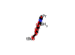 CCCc1ccc(/N=N/c2ccc(OC(=O)c3ccc(OC(=O)c4ccc(OCCCCOC(=O)C(C)(C)C)cc4)cc3)c(C)c2)cc1